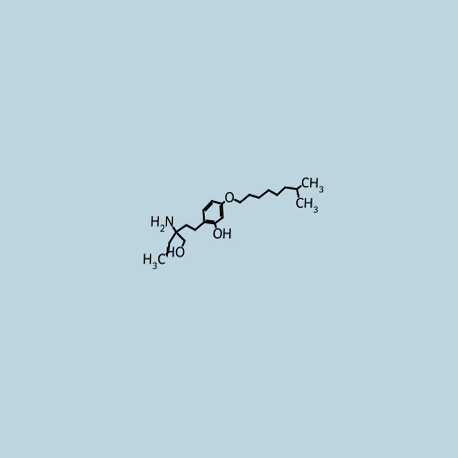 CCCC(N)(CO)CCc1ccc(OCCCCCCC(C)C)cc1O